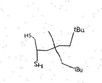 CC(C)(C)CC(C)(CC(C)(C)C)C(S)S